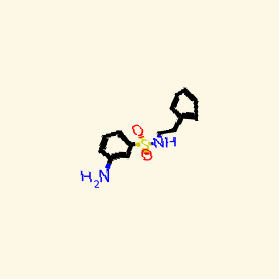 Nc1cccc(S(=O)(=O)NCCc2ccccc2)c1